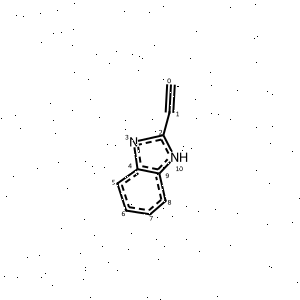 C#Cc1nc2ccccc2[nH]1